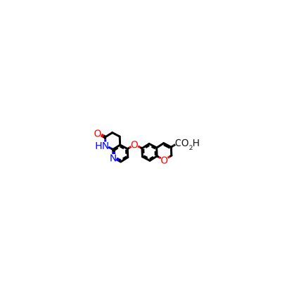 O=C1CCc2c(Oc3ccc4c(c3)C=C(C(=O)O)CO4)ccnc2N1